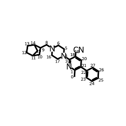 Cc1nc(N2CCN(CC3CC4CCC3C4)CC2)c(C#N)cc1-c1ccccc1